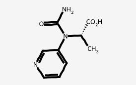 C[C@@H](C(=O)O)N(C(N)=O)c1cccnc1